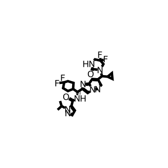 CC(C)n1nccc1C(=O)N[C@H](c1cn2ncc(C(C3CC3)N3CC(F)(F)CNC3=O)cc2n1)C1CCC(F)(F)CC1